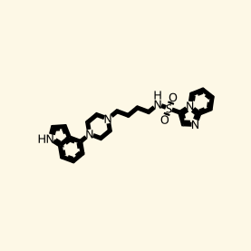 O=S(=O)(NCCCCN1CCN(c2cccc3[nH]ccc23)CC1)c1cnc2ccccn12